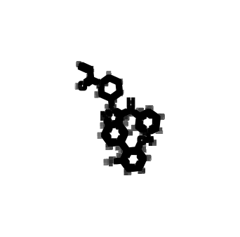 C=CC(=O)N1CCCC(n2nc3ccc(-c4c(F)cccc4OC)cc3c2Nc2cccnc2)C1